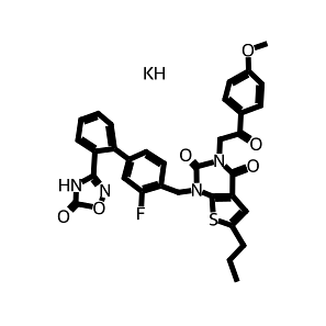 CCCc1cc2c(=O)n(CC(=O)c3ccc(OC)cc3)c(=O)n(Cc3ccc(-c4ccccc4-c4noc(=O)[nH]4)cc3F)c2s1.[KH]